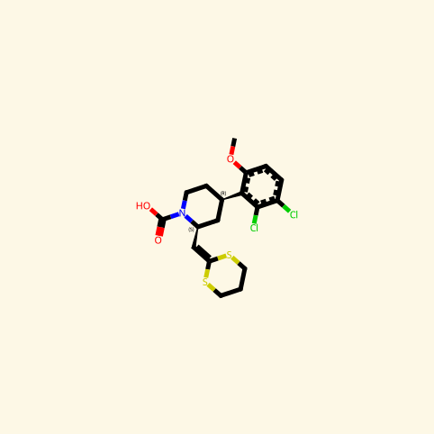 COc1ccc(Cl)c(Cl)c1[C@@H]1CCN(C(=O)O)[C@H](C=C2SCCCS2)C1